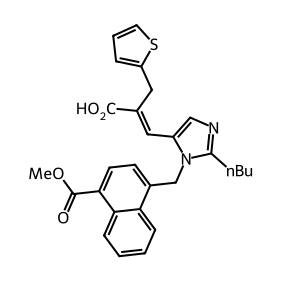 CCCCc1ncc(/C=C(\Cc2cccs2)C(=O)O)n1Cc1ccc(C(=O)OC)c2ccccc12